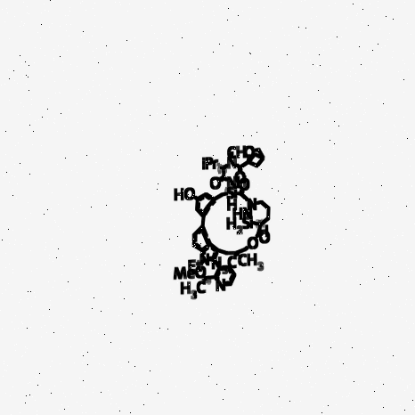 CCn1c(-c2cccnc2[C@H](C)OC)c2c3cc(ccc31)-c1cc(O)cc(c1)C[Si@H](NC(=O)[C@H](C(C)C)N(C)C(=O)C13CC(CO1)C3)C(=O)N1CCC[C@H]([SiH2]N1)C(=O)OCC(C)(C)C2